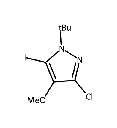 COc1c(Cl)nn(C(C)(C)C)c1I